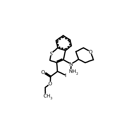 CCOC(=O)C(I)C1=C(N(N)C2CCOCC2)c2ccccc2SC1